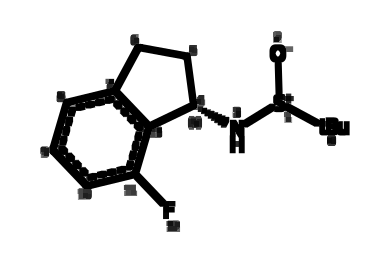 CC(C)(C)[S+]([O-])N[C@H]1CCc2cccc(F)c21